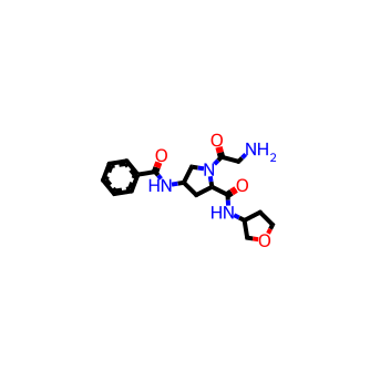 NCC(=O)N1CC(NC(=O)c2ccccc2)CC1C(=O)NC1CCOC1